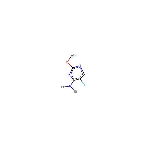 CCCCOc1ncc(F)c(N(CC)CC)n1